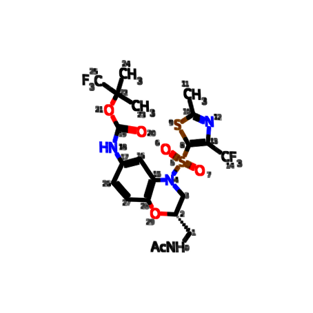 CC(=O)NC[C@H]1CN(S(=O)(=O)c2sc(C)nc2C(F)(F)F)c2cc(NC(=O)OC(C)(C)C(F)(F)F)ccc2O1